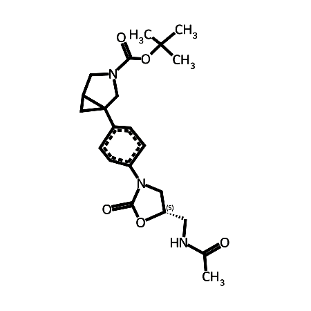 CC(=O)NC[C@H]1CN(c2ccc(C34CC3CN(C(=O)OC(C)(C)C)C4)cc2)C(=O)O1